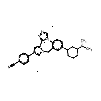 CN(C)C1CCCC(c2ccc3c(c2)Cn2cc(-c4ccc(C#N)cc4)cc2-c2nncn2-3)C1